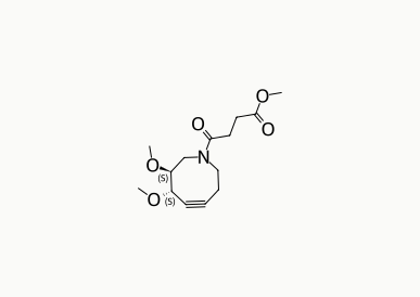 COC(=O)CCC(=O)N1CCC#C[C@H](OC)[C@@H](OC)C1